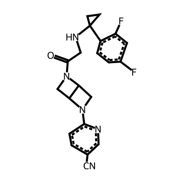 N#Cc1ccc(N2CC3C2CN3C(=O)CNC2(c3ccc(F)cc3F)CC2)nc1